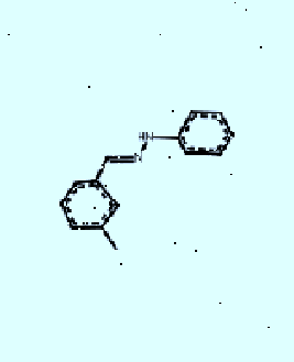 Cc1cccc(C=NNc2ccccc2)c1